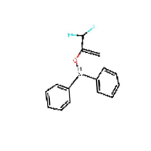 C=C(O[SiH](c1ccccc1)c1ccccc1)C(F)F